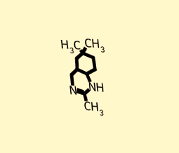 CC1=NCC2CC(C)(C)CCC2N1